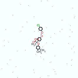 Cc1ccc(OC(C)(C(=O)O)c2ccc(OCOc3ccc(Cl)cc3)cc2)cc1C